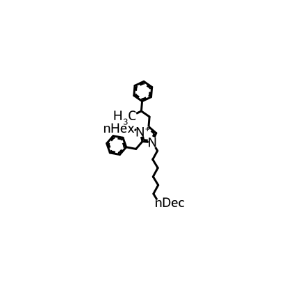 CCCCCCCCCCCCCCCCn1cc(CC(C)c2ccccc2)[n+](CCCCCC)c1Cc1ccccc1